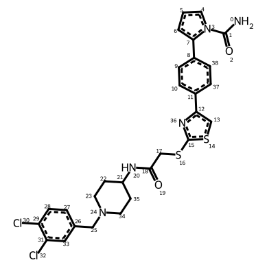 NC(=O)n1cccc1-c1ccc(-c2csc(SCC(=O)NC3CCN(Cc4ccc(Cl)c(Cl)c4)CC3)n2)cc1